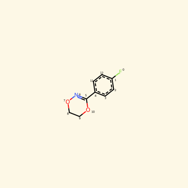 Fc1ccc(C2=NOCCO2)cc1